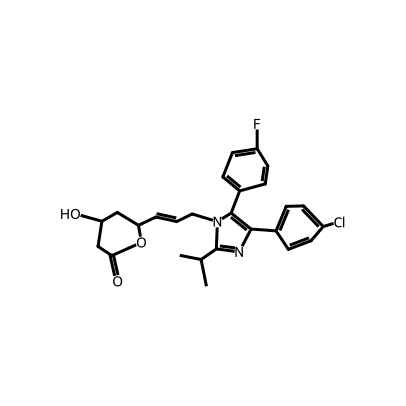 CC(C)c1nc(-c2ccc(Cl)cc2)c(-c2ccc(F)cc2)n1CC=CC1CC(O)CC(=O)O1